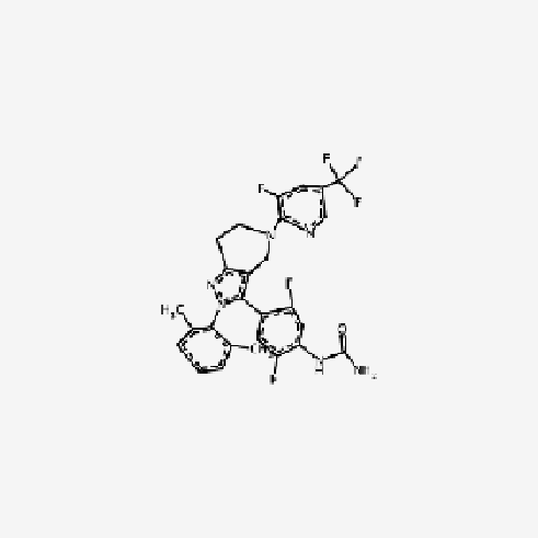 Cc1cccc(C)c1-n1nc2c(c1-c1cc(F)c(NC(N)=O)cc1F)CN(c1ncc(C(F)(F)F)cc1F)CC2